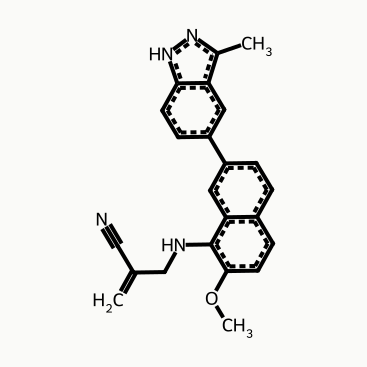 C=C(C#N)CNc1c(OC)ccc2ccc(-c3ccc4[nH]nc(C)c4c3)cc12